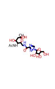 CC(=O)NC1C(O)CC(C)(O)OC1CNC(=O)c1ncn(C2OC(CO)C(O)C2O)n1